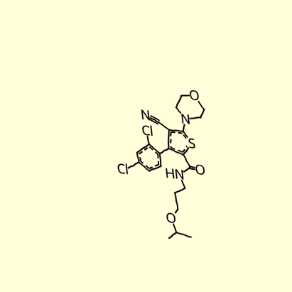 CC(C)OCCCNC(=O)c1sc(N2CCOCC2)c(C#N)c1-c1ccc(Cl)cc1Cl